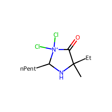 CCCCCC1NC(C)(CC)C(=O)[N+]1(Cl)Cl